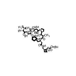 CC[C@H](C)[C@@H]([C@@H](CC(=O)N1CCC[C@H]1[C@H](OC)[C@@H](C)C(=O)N[C@@H](CC(=O)NC[C@@H]1CC=C1NC(=O)OC(C)(C)C)Cc1ccccc1)OC)N(C)C(=O)[C@@H](NC(=O)[C@H](C(C)C)N(C)C)C(C)C